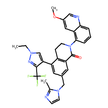 CCn1cc(-c2cc(Cn3ccnc3C)cc3c2CCN(c2cccc4ncc(OC)cc24)C3=O)c(C(F)(F)F)n1